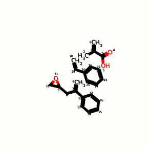 C=C(C)C(=O)O.C=C(CC1CO1)c1ccccc1.C=Cc1ccccc1